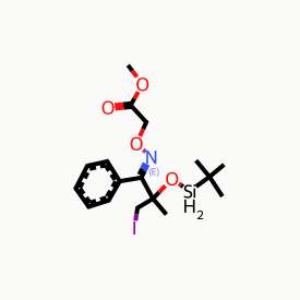 COC(=O)CO/N=C(\c1ccccc1)C(C)(CI)O[SiH2]C(C)(C)C